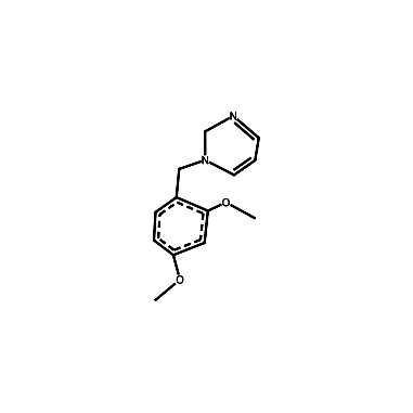 COc1ccc(CN2C=CC=NC2)c(OC)c1